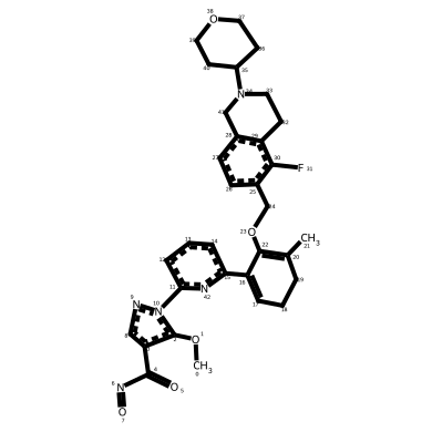 COc1c(C(=O)N=O)cnn1-c1cccc(C2=CCCC(C)=C2OCc2ccc3c(c2F)CCN(C2CCOCC2)C3)n1